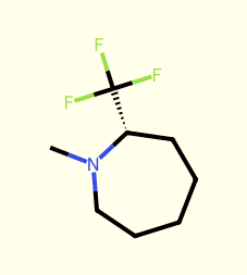 CN1CCCCC[C@H]1C(F)(F)F